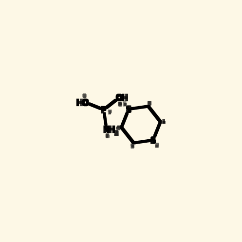 C1CSCCS1.NP(O)O